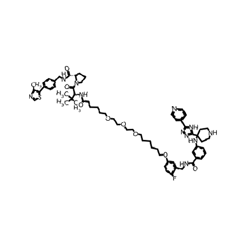 Cc1ncsc1-c1ccc(CNC(=O)[C@@H]2CCCN2C(=O)[C@@H](NC(=O)CCCCCOCCOCCOCCCCCCOc2ccc(F)c(CNC(=O)c3cccc(NC4(c5nnc(-c6ccncc6)[nH]5)CCNCC4)c3)c2)C(C)(C)C)cc1